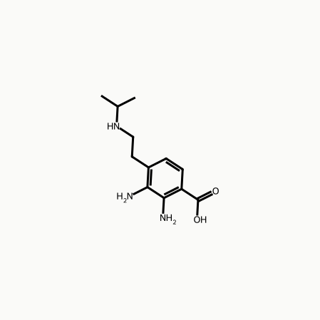 CC(C)NCCc1ccc(C(=O)O)c(N)c1N